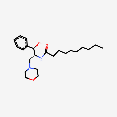 CCCCCCCCCC(=O)N[C@H](CN1CCOCC1)[C@H](O)c1ccccc1